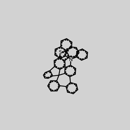 c1ccc(N(c2ccc3c(c2)C2(c4ccccc4-c4ccccc4-3)c3ccccc3-c3cc4sc5ccccc5c4cc32)c2cccc3ccccc23)cc1